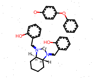 Oc1ccccc1C=[N+]1[Cr][N+](=Cc2ccccc2O)[C@@H]2CCCC[C@H]21.[O-]c1ccc(Oc2ccccc2)cc1